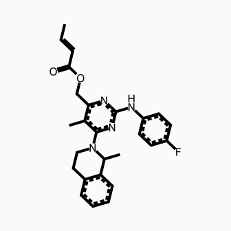 C/C=C/C(=O)OCc1nc(Nc2ccc(F)cc2)nc(N2CCc3ccccc3C2C)c1C